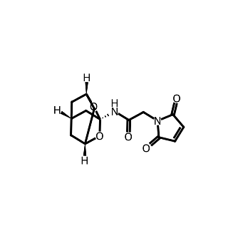 O=C(CN1C(=O)C=CC1=O)N[C@]12C[C@@H]3C[C@H](C[C@H](C3)O1)O2